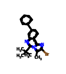 Cc1c(Br)nc2c3ccc(-c4ccccc4)cc3nc(C(C)(C)C)n12